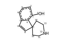 Oc1cccc2c1C1(C=C2)CCNCC1